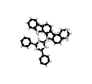 c1ccc(-c2nc(-c3ccccc3)nc(-n3c4ccc5ncncc5c4c4ccc5c6ccccc6oc5c43)n2)cc1